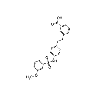 COc1cccc(S(=O)(=O)Nc2ccc(CCc3cccc(C(=O)O)c3)cc2)c1